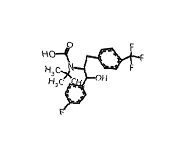 CC(C)(C)N(C(=O)O)C(Cc1ccc(C(F)(F)F)cc1)C(O)c1ccc(F)cc1